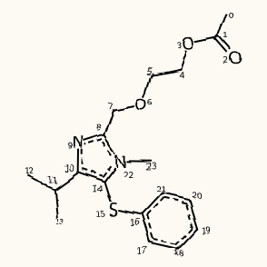 CC(=O)OCCOCc1nc(C(C)C)c(Sc2ccccc2)n1C